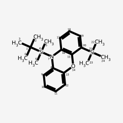 CC(C)(C)[Si](C)(C)N1c2ccccc2Oc2c1cccc2[Si](C)(C)C